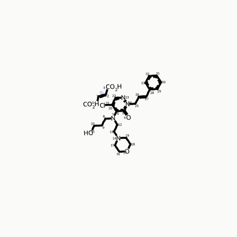 O=C(O)/C=C/C(=O)O.O=c1c(N(CCCO)CCN2CCOCC2)c(Cl)cnn1CC=Cc1ccccc1